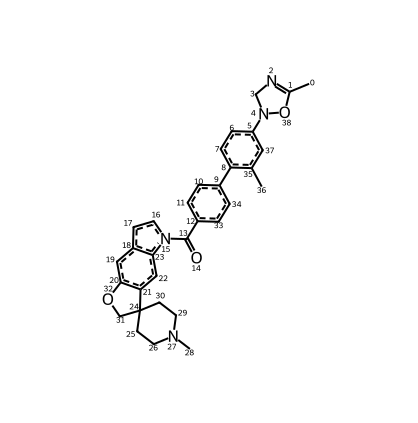 CC1=NCN(c2ccc(-c3ccc(C(=O)n4ccc5cc6c(cc54)C4(CCN(C)CC4)CO6)cc3)c(C)c2)O1